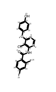 O=C(Nc1ncnc(Oc2ccc(O)cc2)c1Cl)c1ccc(F)cc1F